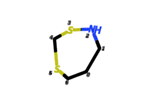 C1CNSCSC1